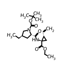 C=C[C@@H]1C[C@]1(NC(=O)[C@@H]1C[C@@H](CC)CN1C(=O)OC(C)(C)C)C(=O)OCC